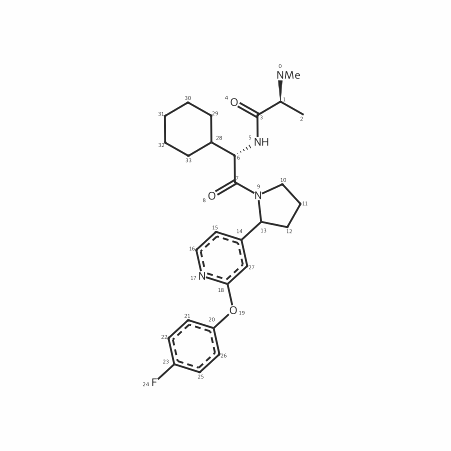 CN[C@@H](C)C(=O)N[C@H](C(=O)N1CCCC1c1ccnc(Oc2ccc(F)cc2)c1)C1CCCCC1